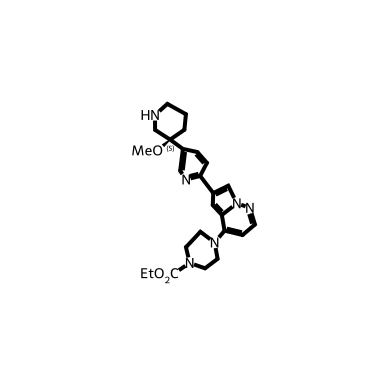 CCOC(=O)N1CCN(c2ccnn3cc(-c4ccc([C@@]5(OC)CCCNC5)cn4)cc23)CC1